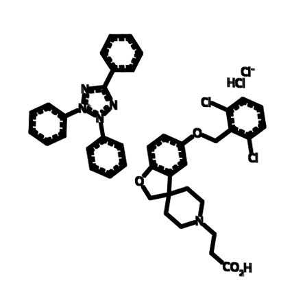 Cl.O=C(O)CCN1CCC2(CC1)COc1ccc(OCc3c(Cl)cccc3Cl)cc12.[Cl-].c1ccc(-c2nn(-c3ccccc3)[n+](-c3ccccc3)n2)cc1